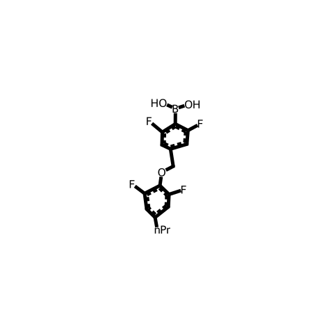 CCCc1cc(F)c(OCc2cc(F)c(B(O)O)c(F)c2)c(F)c1